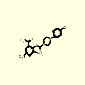 NC(=O)c1cc([N+](=O)[O-])cc([N+](=O)[O-])c1SC(=S)N1CCN(c2ccc(Cl)cc2)CC1